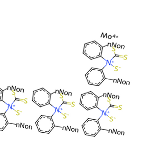 CCCCCCCCCc1ccccc1[N+]([S-])(C(=S)[S-])c1ccccc1CCCCCCCCC.CCCCCCCCCc1ccccc1[N+]([S-])(C(=S)[S-])c1ccccc1CCCCCCCCC.CCCCCCCCCc1ccccc1[N+]([S-])(C(=S)[S-])c1ccccc1CCCCCCCCC.CCCCCCCCCc1ccccc1[N+]([S-])(C(=S)[S-])c1ccccc1CCCCCCCCC.[Mo+4]